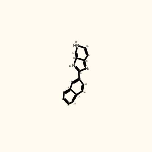 c1ccc2cc(-c3nc4cc[nH]cc-4n3)ccc2c1